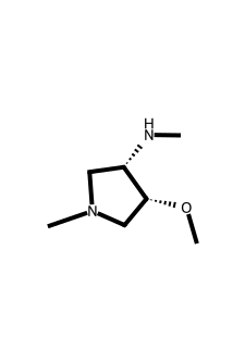 CN[C@H]1CN(C)C[C@H]1OC